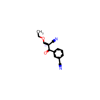 CCO/C=C(\C#N)C(=O)c1cccc(C#N)c1